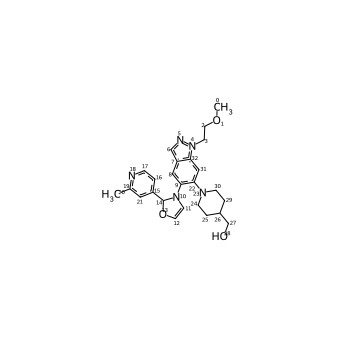 COCCn1ncc2cc(N3C=COC3c3ccnc(C)c3)c(N3CCC(CO)CC3)cc21